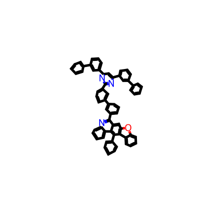 c1ccc(-c2cccc(-c3cc(-c4cccc(-c5ccccc5)c4)nc(-c4cccc(-c5cccc(-c6nc7ccccc7c7c(-c8ccccc8)c8c(cc67)oc6ccccc68)c5)c4)n3)c2)cc1